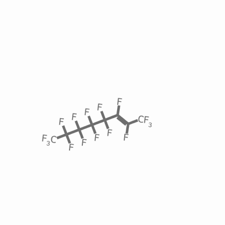 FC(=C(F)C(F)(F)C(F)(F)C(F)(F)C(F)(F)C(F)(F)F)C(F)(F)F